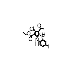 CCOC(=O)c1c(Nc2ccc(I)cc2F)[nH]c(C(C)=O)c1Cl